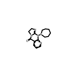 O=C1c2cccnc2N(N2CCCCCC2)C2=NCCN12